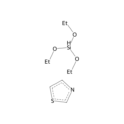 CCO[SiH](OCC)OCC.c1cscn1